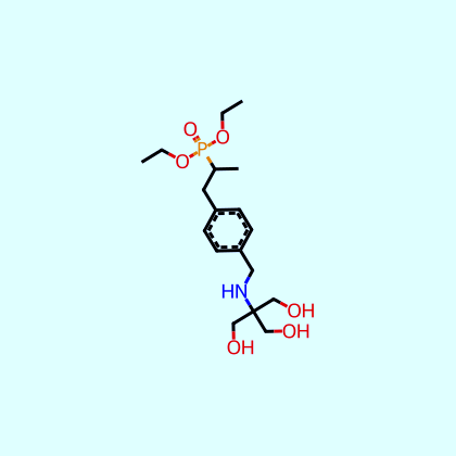 CCOP(=O)(OCC)C(C)Cc1ccc(CNC(CO)(CO)CO)cc1